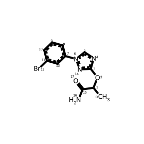 CC(Oc1ncn(-c2cccc(Br)c2)n1)C(N)=O